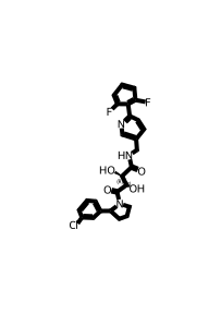 O=C(NCc1ccc(-c2c(F)cccc2F)nc1)[C@H](O)[C@@H](O)C(=O)N1CCCC1c1cccc(Cl)c1